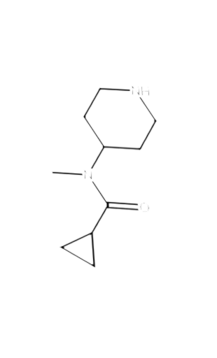 CN(C(=O)C1CC1)C1CCNCC1